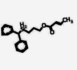 CC=CC(=O)OCCC[SiH2]C(c1ccccc1)c1ccccc1